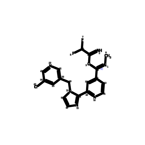 C/N=C(\OC(=N)C(F)F)c1ccnc(-c2nccn2Cc2cncc(Cl)c2)c1